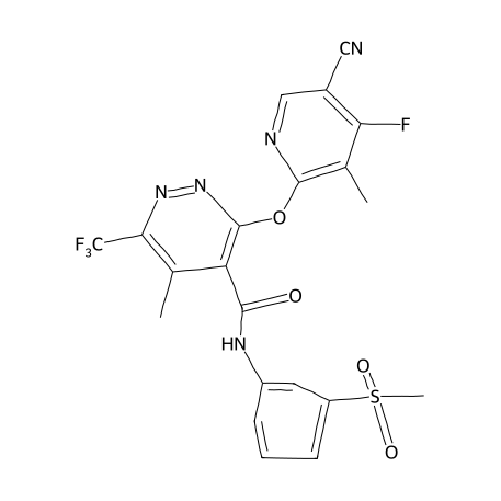 Cc1c(Oc2nnc(C(F)(F)F)c(C)c2C(=O)Nc2cccc(S(C)(=O)=O)c2)ncc(C#N)c1F